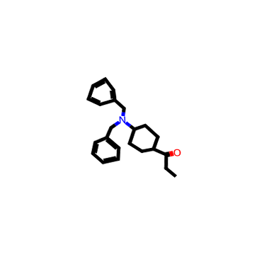 CCC(=O)C1CCC(N(Cc2ccccc2)Cc2ccccc2)CC1